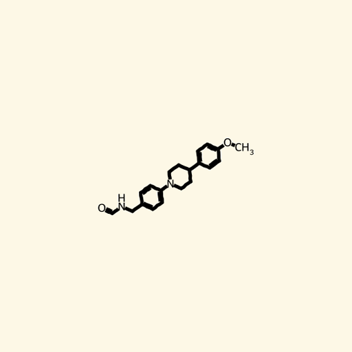 COc1ccc(C2CCN(c3ccc(CNC=O)cc3)CC2)cc1